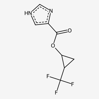 O=C(OC1CC1C(F)(F)F)c1c[nH]cn1